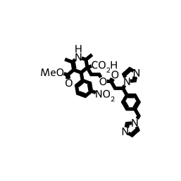 COC(=O)C1=C(C)NC(C)C(CCOC(=O)CC(c2ccc(Cn3ccnc3)cc2)n2ccnc2)(C(=O)O)C1c1cccc([N+](=O)[O-])c1